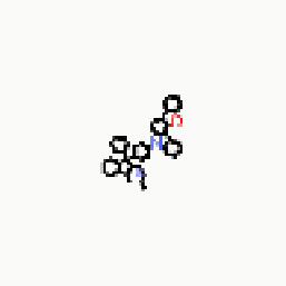 C=C/C=C\C1=C(C)c2ccccc2C1(c1ccccc1)c1ccc(-n2c3ccccc3c3c4oc5ccccc5c4ccc32)cc1